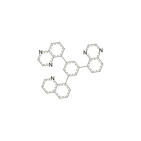 c1cnc2c(-c3cc(-c4cccc5nccnc45)cc(-c4cccc5nccnc45)c3)cccc2c1